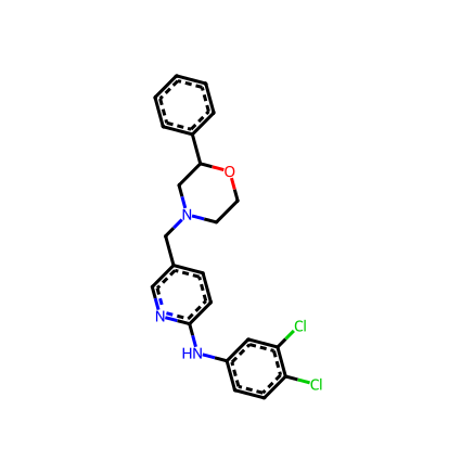 Clc1ccc(Nc2ccc(CN3CCOC(c4ccccc4)C3)cn2)cc1Cl